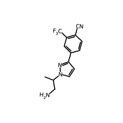 CC(CN)n1ccc(-c2ccc(C#N)c(C(F)(F)F)c2)n1